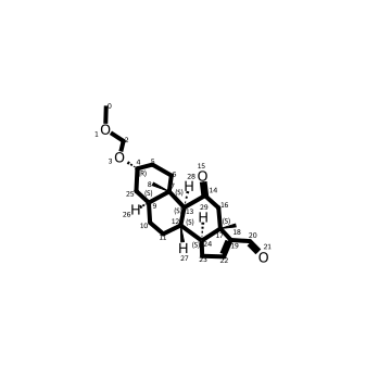 COCO[C@@H]1CC[C@@]2(C)[C@@H](CC[C@@H]3[C@@H]2C(=O)C[C@]2(C)C(C=O)=CC[C@@H]32)C1